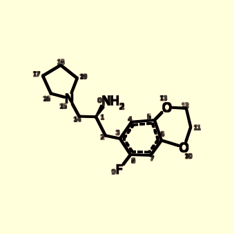 N[C@@H](Cc1cc2c(cc1F)OCCO2)CN1CCCC1